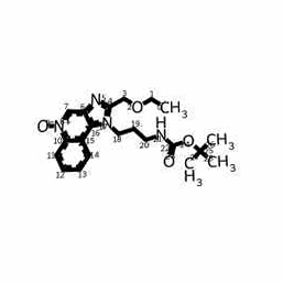 CCOCc1nc2c[n+]([O-])c3ccccc3c2n1CCCNC(=O)OC(C)(C)C